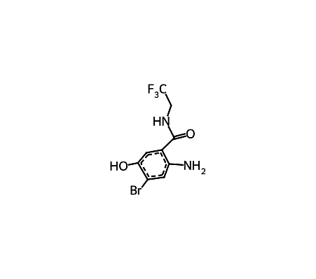 Nc1cc(Br)c(O)cc1C(=O)NCC(F)(F)F